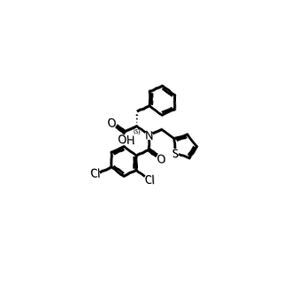 O=C(O)[C@H](Cc1ccccc1)N(Cc1cccs1)C(=O)c1ccc(Cl)cc1Cl